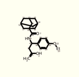 C=C(O)CC(NC(=O)C12CC3CC(CC(C3)C1)C2)c1ccc(OCC)cc1